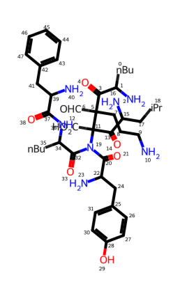 CCCCC(N)C(=O)C(C=O)(CCCN)C(C(=O)O)(C(=O)C(N)CC(C)C)N(C(=O)C(N)Cc1ccc(O)cc1)C(=O)C(CCCC)NC(=O)C(N)Cc1ccccc1